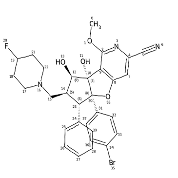 COc1nc(C#N)cc2c1[C@]1(O)[C@H](O)[C@H](CN3CCC(F)CC3)[C@@H](c3ccccc3)[C@]1(c1ccc(Br)cc1)O2